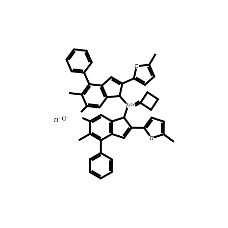 Cc1ccc(C2=Cc3c(cc(C)c(C)c3-c3ccccc3)[CH]2[Zr+2](=[C]2CCC2)[CH]2C(c3ccc(C)o3)=Cc3c2cc(C)c(C)c3-c2ccccc2)o1.[Cl-].[Cl-]